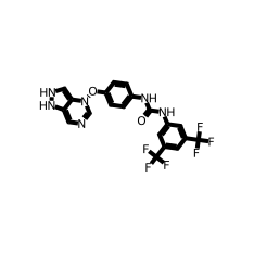 O=C(Nc1ccc(ON2C=NC=C3NNC=C32)cc1)Nc1cc(C(F)(F)F)cc(C(F)(F)F)c1